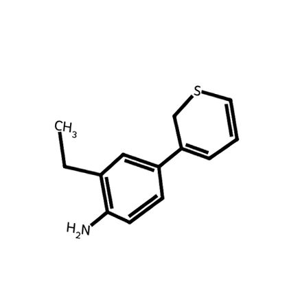 CCc1cc(C2=CC=CSC2)ccc1N